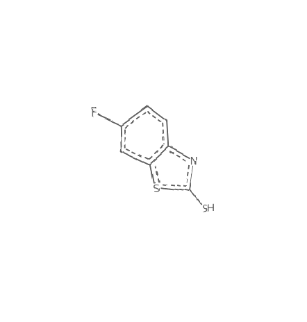 Fc1ccc2nc(S)sc2c1